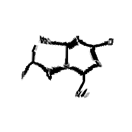 COC1=NC(Cl)=NC(N)N1OC(F)F